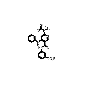 CCOC(=O)c1cccc(NC(=O)c2cnc(N(CC)C(N)=O)cc2Nc2ccccc2)c1